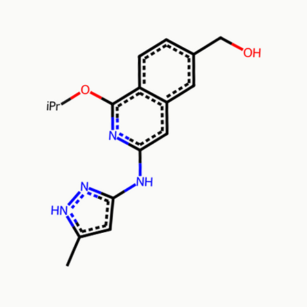 Cc1cc(Nc2cc3cc(CO)ccc3c(OC(C)C)n2)n[nH]1